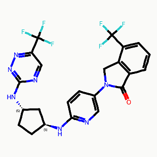 O=C1c2cccc(C(F)(F)F)c2CN1c1ccc(N[C@H]2CC[C@H](Nc3ncc(C(F)(F)F)nn3)C2)nc1